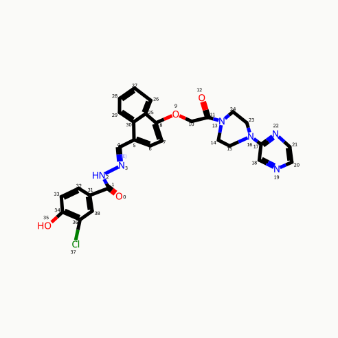 O=C(N/N=C/c1ccc(OCC(=O)N2CCN(c3cnccn3)CC2)c2ccccc12)c1ccc(O)c(Cl)c1